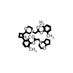 Cc1cccc(C)c1OC(=O)CN1CCOC(C2CCC2c2ccc(C)c(OC(=O)CN3CCOC4CCCC43)c2C)C1